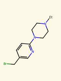 CCN1CCN(c2ccc(CBr)cn2)CC1